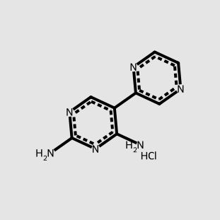 Cl.Nc1ncc(-c2cnccn2)c(N)n1